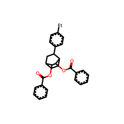 CCc1ccc(C2CC3CCC2C(OC(=O)c2ccccc2)C3OC(=O)c2ccccc2)cc1